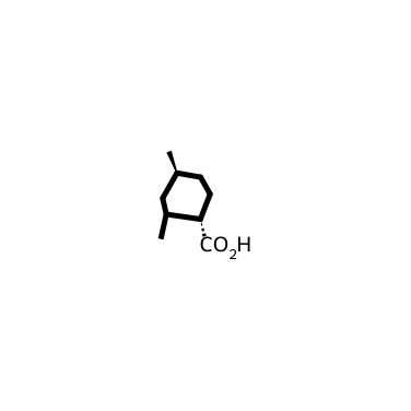 CC1C[C@@H](C)CC[C@@H]1C(=O)O